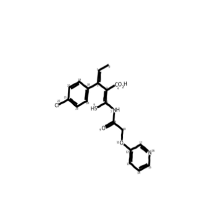 C/C=C(\C(C(=O)O)=C(/S)NC(=O)COc1cccnc1)c1ccc(Cl)cc1